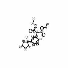 CCOC(=O)C(C(=O)OCC)c1cncc(C2(C)CCCC2)n1